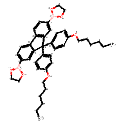 CCCCCCOc1ccc(C2(c3ccc(OCCCCCC)cc3)c3cc(B4OCCO4)ccc3-c3ccc(B4OCCO4)cc32)cc1